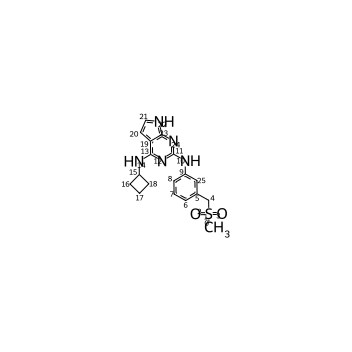 CS(=O)(=O)Cc1cccc(Nc2nc(NC3CCC3)c3cc[nH]c3n2)c1